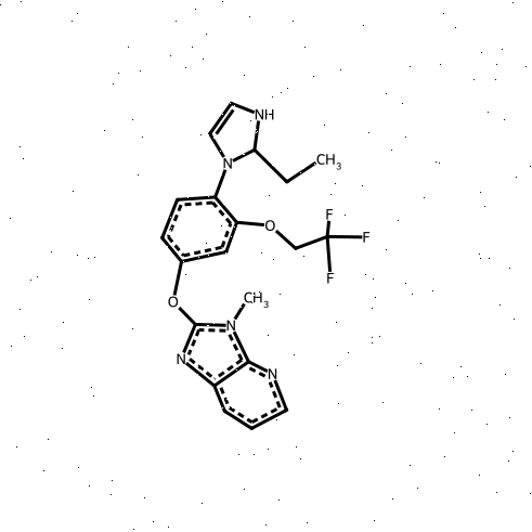 CCC1NC=CN1c1ccc(Oc2nc3cccnc3n2C)cc1OCC(F)(F)F